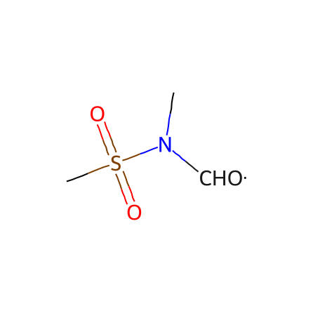 CN([C]=O)S(C)(=O)=O